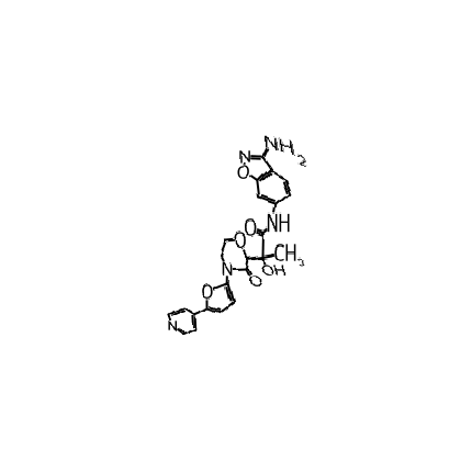 CC(O)(C(=O)Nc1ccc2c(N)noc2c1)C1OCCN(c2ccc(-c3ccncc3)o2)C1=O